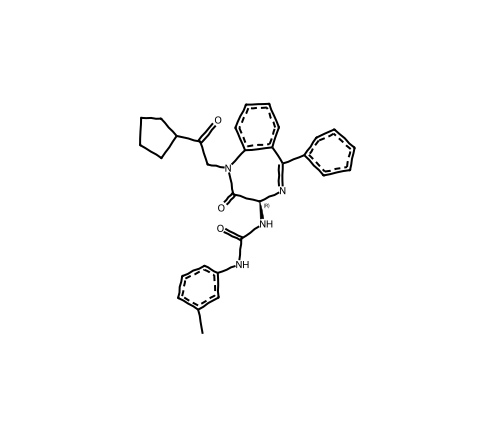 Cc1cccc(NC(=O)N[C@@H]2N=C(c3ccccc3)c3ccccc3N(CC(=O)C3CCCC3)C2=O)c1